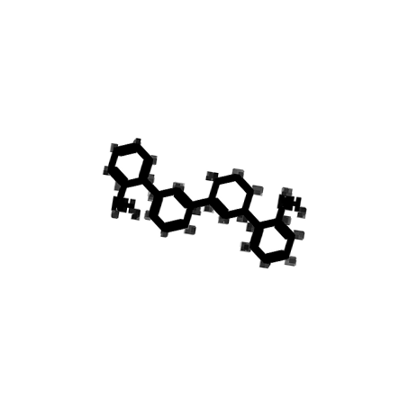 Nc1ccccc1-c1cccc(C2=CC(c3ccccc3N)CCC2)c1